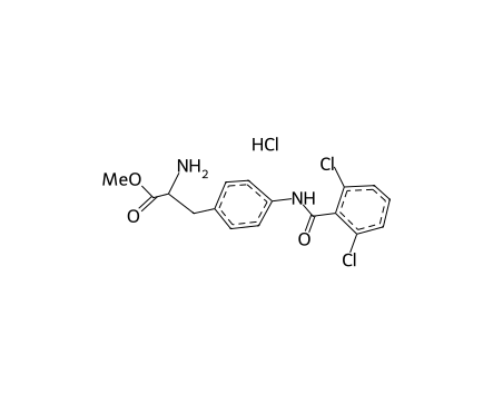 COC(=O)C(N)Cc1ccc(NC(=O)c2c(Cl)cccc2Cl)cc1.Cl